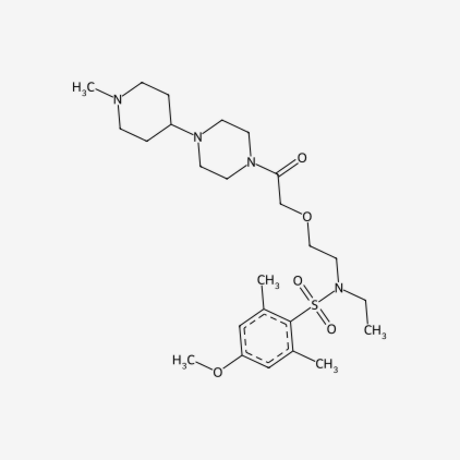 CCN(CCOCC(=O)N1CCN(C2CCN(C)CC2)CC1)S(=O)(=O)c1c(C)cc(OC)cc1C